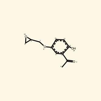 CC(=O)c1cc(OCC2CO2)ccc1O